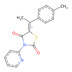 C/C(=C1/SC(=O)N(c2ccccn2)C1=O)c1ccc(C)cc1